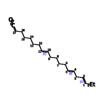 CC/C=C/C/C=C/CCCC/C=C/CCCCCC=C=O